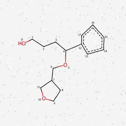 OCCCC(OCC1CCOC1)c1ccccc1